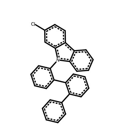 Clc1ccc2c3ccccc3n(-c3ccccc3-c3ccccc3-c3ccccc3)c2c1